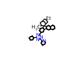 CCC1CC2CC(C)C3(c4ccc(-c5nc(-c6ccccc6)nc(-c6ccccn6)n5)cc4-c4cc5ccccc5cc43)C(C1)C2